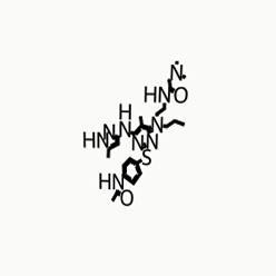 CCCN(CCNC(=O)CN(C)C)c1nc(Sc2ccc(NC(C)=O)cc2)nc(Nc2cc(C)[nH]n2)c1C